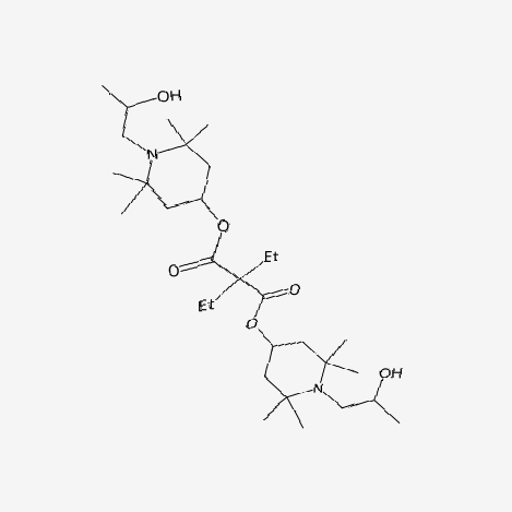 CCC(CC)(C(=O)OC1CC(C)(C)N(CC(C)O)C(C)(C)C1)C(=O)OC1CC(C)(C)N(CC(C)O)C(C)(C)C1